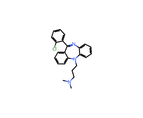 CN(C)CCCN1c2ccccc2N=C(c2ccccc2Cl)c2ccccc21